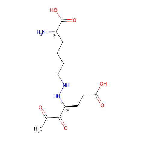 CC(=O)C(=O)[C@H](CCC(=O)O)NNCCCC[C@H](N)C(=O)O